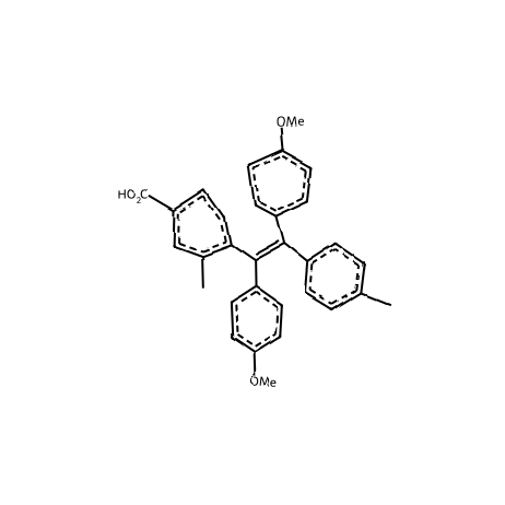 COc1ccc(C(=C(c2ccc(OC)cc2)c2ccc(C(=O)O)cc2C)c2ccc(C)cc2)cc1